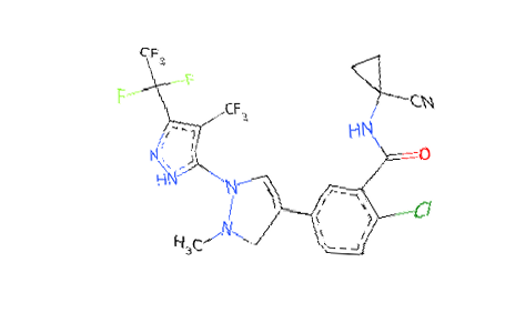 CN1CC(c2ccc(Cl)c(C(=O)NC3(C#N)CC3)c2)=CN1c1[nH]nc(C(F)(F)C(F)(F)F)c1C(F)(F)F